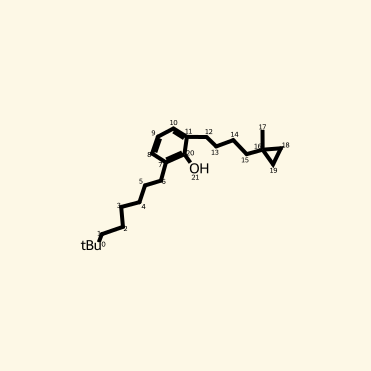 CC(C)(C)CCCCCCc1cccc(CCCCC2(C)CC2)c1O